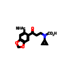 CC(=O)Nc1cc2c(cc1C(=O)CCN(C(=O)O)C1CC1)OCO2